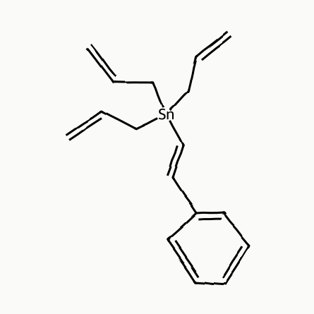 C=C[CH2][Sn]([CH]=Cc1ccccc1)([CH2]C=C)[CH2]C=C